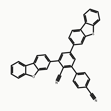 N#Cc1ccc(-c2cc(-c3ccc4c(c3)sc3ccccc34)cc(-c3ccc4c(c3)oc3ccccc34)c2C#N)cc1